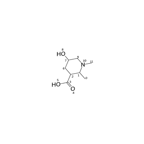 CC1C(C(=O)O)CC(O)CN1C